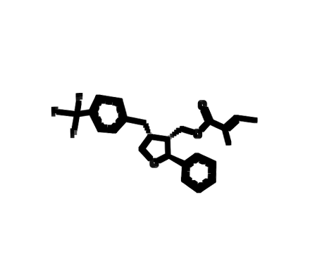 C/C=C(\C)C(=O)OC[C@H]1[C@@H](Cc2ccc(C(F)(F)F)cc2)CO[C@@H]1c1ccccc1